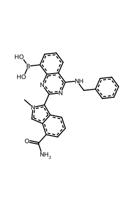 Cn1cc2c(C(N)=O)cccc2c1-c1nc(NCc2ccccc2)c2cccc(B(O)O)c2n1